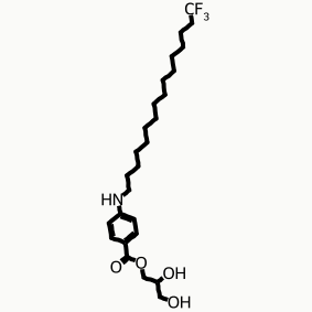 O=C(OCC(O)CO)c1ccc(NCCCCCCCCCCCCCCCC(F)(F)F)cc1